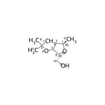 C[C@@H]1CC(OC(C)(C)C)[C@@H](CO)O1